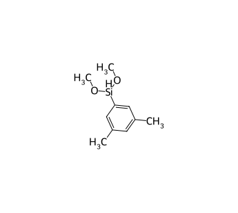 CO[SiH](OC)c1cc(C)cc(C)c1